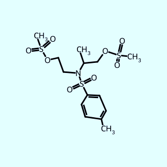 Cc1ccc(S(=O)(=O)N(CCOS(C)(=O)=O)C(C)COS(C)(=O)=O)cc1